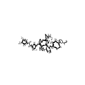 CCOc1ccc(Nc2nc(N)nc(-c3cnn(CCn4cccn4)c3)c2N)cc1